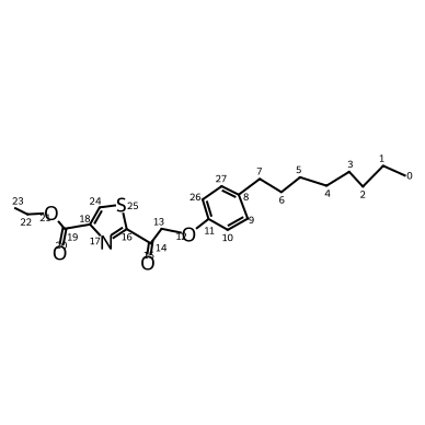 CCCCCCCCc1ccc(OCC(=O)c2nc(C(=O)OCC)cs2)cc1